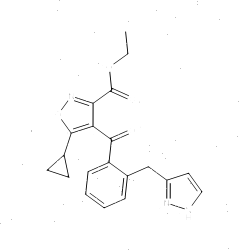 CCOC(=O)c1noc(C2CC2)c1C(=O)c1ccccc1Cc1cc[nH]n1